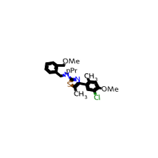 CCCN(Cc1ccccc1COC)c1nc(-c2cc(Cl)c(OC)cc2C)c(C)s1